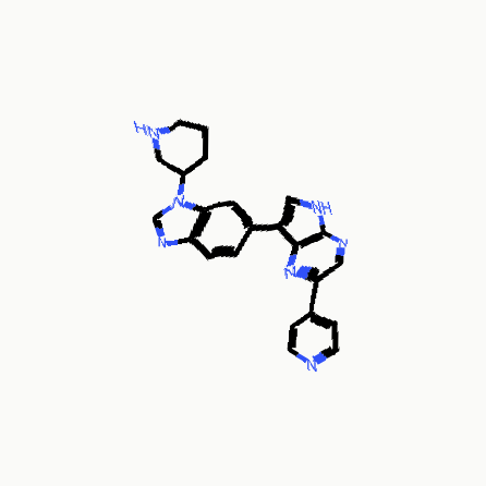 c1cc(-c2cnc3[nH]cc(-c4ccc5ncn(C6CCCNC6)c5c4)c3n2)ccn1